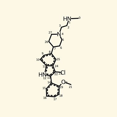 CNCCN1CCC(c2ccc3[nH]c(-c4ccccc4OC)c(Cl)c3c2)CC1